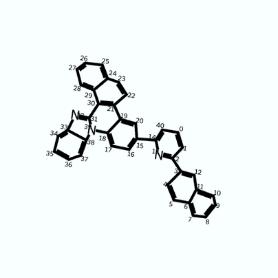 c1cc(-c2ccc3ccccc3c2)nc(-c2ccc3c(c2)c2ccc4ccccc4c2c2nc4ccccc4n32)c1